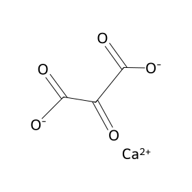 O=C([O-])C(=O)C(=O)[O-].[Ca+2]